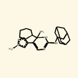 Cn1cc(C2=CN=C(NC34CC5CC(CC(C5)C3)C4)NC2(N)C2CCCCC2)cn1